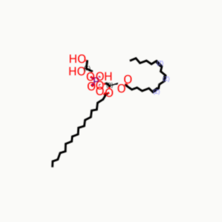 CCCCC/C=C\C/C=C\C/C=C\CCCCC(=O)OC[C@H](COP(=O)(O)OC[C@@H](O)CO)OC(=O)CCCCCCCCCCCCCCCCC